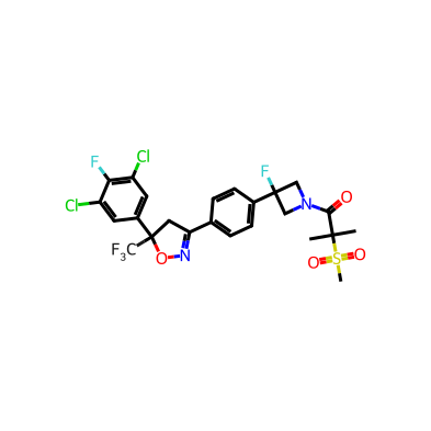 CC(C)(C(=O)N1CC(F)(c2ccc(C3=NOC(c4cc(Cl)c(F)c(Cl)c4)(C(F)(F)F)C3)cc2)C1)S(C)(=O)=O